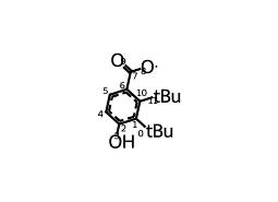 CC(C)(C)c1c(O)ccc(C([O])=O)c1C(C)(C)C